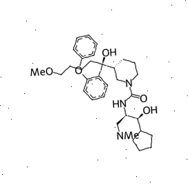 CNC[C@@H](NC(=O)N1CCC[C@@H]([C@@](O)(CCCCOC)c2ccccc2Oc2ccccc2)C1)[C@@H](O)C1CCCC1